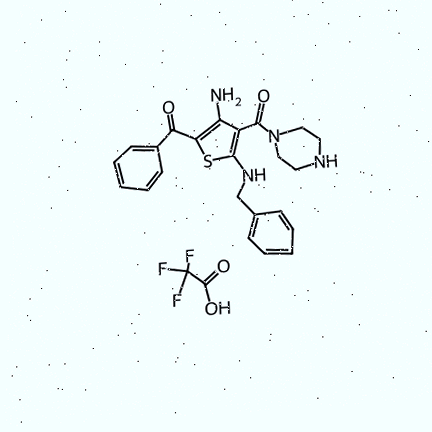 Nc1c(C(=O)c2ccccc2)sc(NCc2ccccc2)c1C(=O)N1CCNCC1.O=C(O)C(F)(F)F